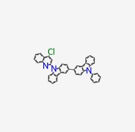 Clc1cc(-n2c3ccccc3c3cc(-c4ccc5c(c4)c4ccccc4n5-c4ccccc4)ccc32)nc2ccccc12